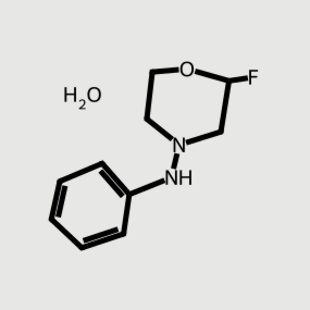 FC1CN(Nc2ccccc2)CCO1.O